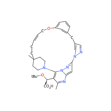 Cc1nc2cc3nn2c(c1[C@H](OC(C)(C)C)C(=O)O)N1CCC(C)(CC/C=C\COc2cccc(c2)Cc2cnn-3c2)CC1